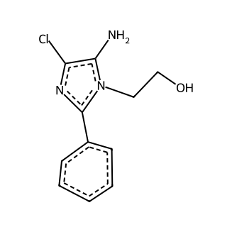 Nc1c(Cl)nc(-c2ccccc2)n1CCO